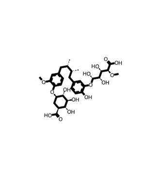 COc1cc(C[C@H](C)[C@H](C)Cc2ccc(O)c(O[C@H](O)[C@@H](O)[C@H](O)[C@H](OC)C(=O)O)c2)ccc1O[C@@H]1C[C@H](C(=O)O)[C@@H](O)[C@H](O)[C@H]1O